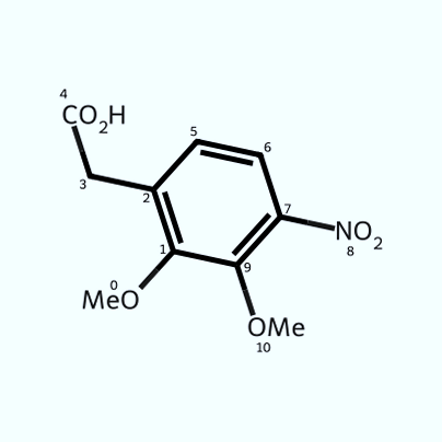 COc1c(CC(=O)O)ccc([N+](=O)[O-])c1OC